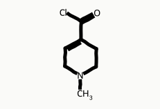 CN1CC=C(C(=O)Cl)CC1